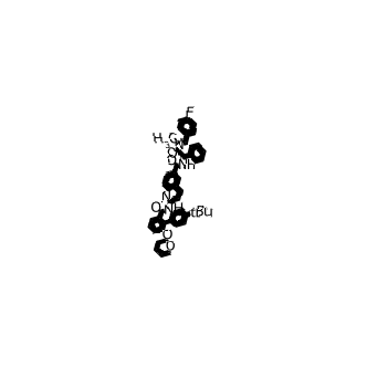 CN(Cc1ccc(F)cc1)C(=O)[C@@H](NC(=O)c1ccc2nc(NC(=O)c3cccc(OC4CCCCO4)c3-c3ccc(C(C)(C)C)cc3)ccc2c1)c1ccccc1